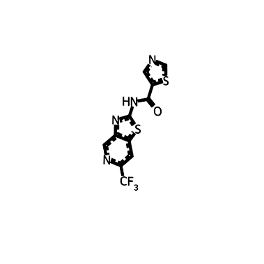 O=C(Nc1nc2cnc(C(F)(F)F)cc2s1)c1cncs1